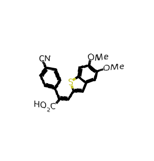 COc1cc2cc(C=C(C(=O)O)c3ccc(C#N)cc3)sc2cc1OC